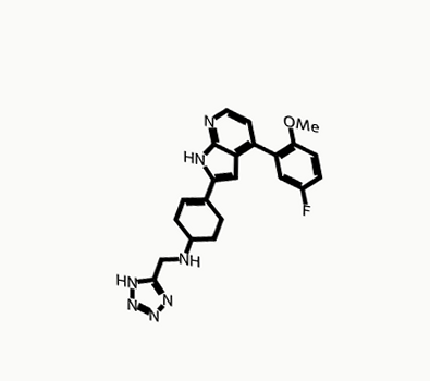 COc1ccc(F)cc1-c1ccnc2[nH]c(C3=CCC(NCc4nnn[nH]4)CC3)cc12